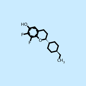 CC[C@H]1CC[C@H](C2CCc3cc(O)c(F)c(F)c3O2)CC1